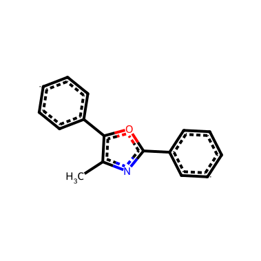 Cc1nc(-c2c[c]ccc2)oc1-c1cc[c]cc1